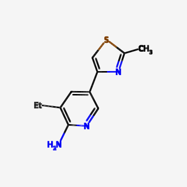 CCc1cc(-c2csc(C)n2)cnc1N